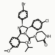 COc1ccc(C2=N[C@@H](c3ccc(Br)cc3)[C@@H](c3ccc(Cl)cc3)N2C(=O)N2CCNC(=O)C2)c(OC(C)C)c1